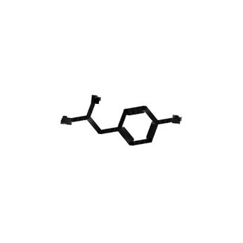 CC(=O)C(Br)Cc1ccc(Br)cc1